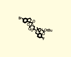 CC(C)(C)OC(=O)N1CC(C)(N(Cc2ccc(F)cc2)C(=O)CN2C(=O)O[C@@]3(CCc4cc(Br)ccc43)C2=O)C1